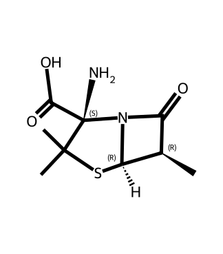 C[C@@H]1C(=O)N2[C@@H]1SC(C)(C)[C@]2(N)C(=O)O